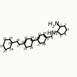 NC1CCCCC1NCC1=CC=C(C2=CC=C(CCC3CCCCC3)CC2)CC1